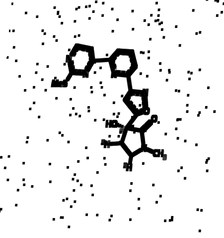 [2H]C1C([2H])[C@@](O)(c2cc(-c3cccc(-c4ccnc(SC)n4)n3)no2)C(=O)N1C